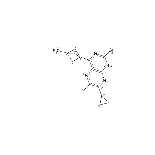 Cc1nc2c(C34CC(C(F)(F)F)(C3)C4)nc(Br)nc2nc1C1CC1